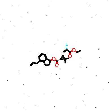 C=CCc1cccc2c1CCC2OC(=O)[C@@H]1[C@H](/C=C(/F)C(=O)OCC)C1(C)C